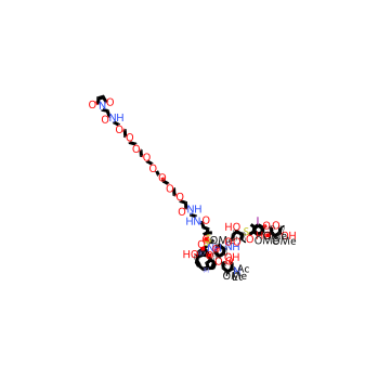 CCN(C(C)=O)[C@H]1CO[C@@H](O[C@H]2[C@H](O[C@@]34C#C/C(=C/C#C[C@]5(O)CC(=O)C(NC(=O)OC)=C3/C5=C\CSSC(C)(C)CCC(=O)NCCNC(=O)CCOCCOCCOCCOCCOCCOCCOCCOCCNC(=O)CCN3C(=O)C=CC3=O)C4)O[C@H](C)[C@@H](NO[C@H]3C[C@H](O)[C@H](SC(=O)c4c(C)c(I)c(O[C@@H]5O[C@@H](C)[C@H](O)[C@@H](OC)[C@H]5O)c(OC)c4OC)[C@@H](C)O3)[C@@H]2O)C[C@@H]1OC